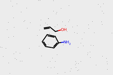 C=CCO.Nc1ccccc1